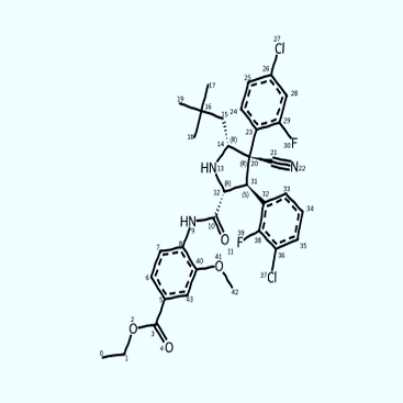 CCOC(=O)c1ccc(NC(=O)[C@@H]2N[C@H](CC(C)(C)C)[C@](C#N)(c3ccc(Cl)cc3F)[C@H]2c2cccc(Cl)c2F)c(OC)c1